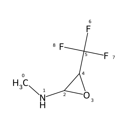 CNC1OC1C(F)(F)F